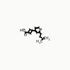 CN(C)CCc1cc(C2CC(C(=O)O)C2)ccn1